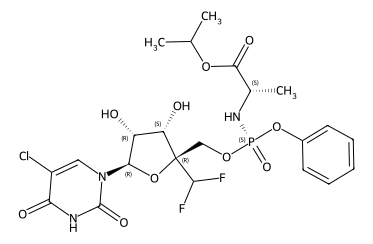 CC(C)OC(=O)[C@H](C)N[P@](=O)(OC[C@@]1(C(F)F)O[C@@H](n2cc(Cl)c(=O)[nH]c2=O)[C@H](O)[C@@H]1O)Oc1ccccc1